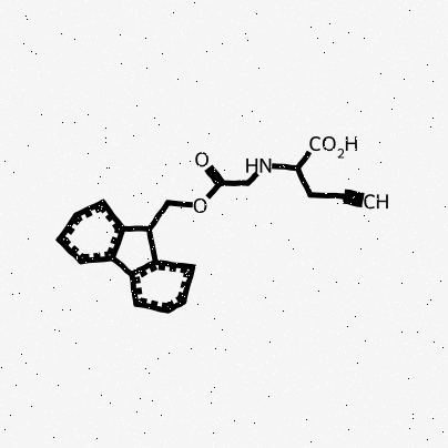 C#CCC(NCC(=O)OCC1c2ccccc2-c2ccccc21)C(=O)O